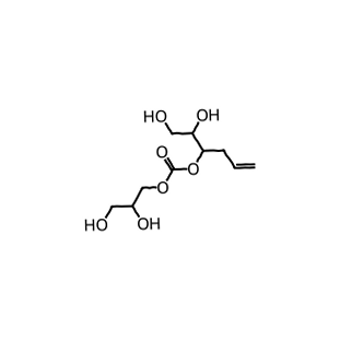 C=CCC(OC(=O)OCC(O)CO)C(O)CO